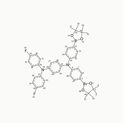 CC1(C)OB(c2ccc(N(c3ccc(B4OC(C)(C)C(C)(C)O4)cc3)c3ccc(N(c4ccc(F)cc4)c4ccc(F)cc4)cc3)cc2)OC1(C)C